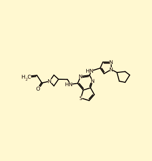 C=CC(=O)N1CC(CNc2nc(Nc3cnn(C4CCCC4)c3)nc3ccsc23)C1